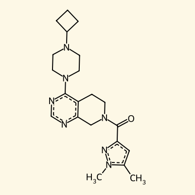 Cc1cc(C(=O)N2CCc3c(ncnc3N3CCN(C4CCC4)CC3)C2)nn1C